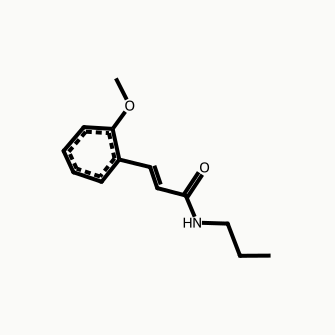 CCCNC(=O)/C=C/c1ccccc1OC